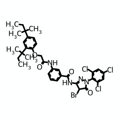 CCC(C)(C)c1ccc(OCC(=O)Nc2cccc(C(=O)NC3=NN(c4c(Cl)cc(Cl)cc4Cl)C(=O)C3Br)c2)c(C(C)(C)CC)c1